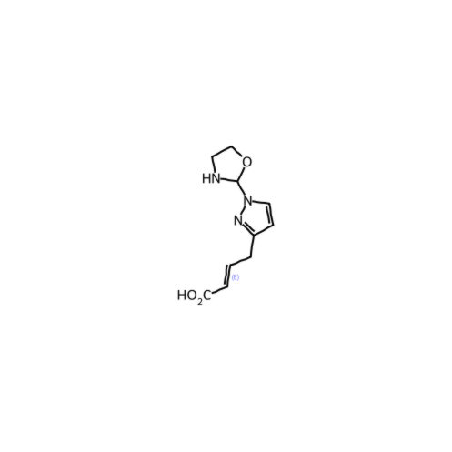 O=C(O)/C=C/Cc1ccn(C2NCCO2)n1